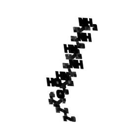 CCCCC(CC)COCC(O)CNCCNCCNCCNCCN